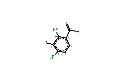 C=C(C)c1ccc(F)c(C)c1F